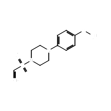 C=CS(=O)(=O)N1CCN(c2ccc(OC)cc2)CC1